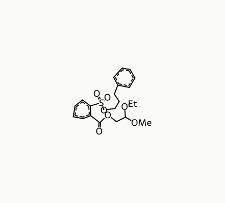 CCOC(COC(=O)c1ccccc1S(=O)(=O)OCCCc1ccccc1)OC